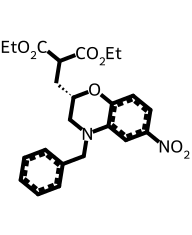 CCOC(=O)C(C[C@H]1CN(Cc2ccccc2)c2cc([N+](=O)[O-])ccc2O1)C(=O)OCC